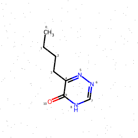 CCCCc1nnc[nH]c1=O